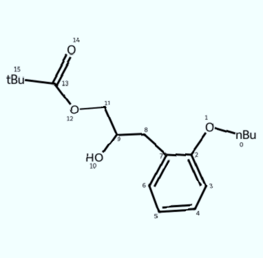 CCCCOc1ccccc1CC(O)COC(=O)C(C)(C)C